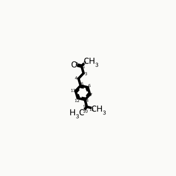 CC(=O)CCc1ccc(C(C)C)cc1